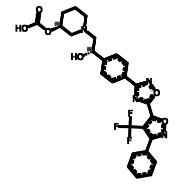 O=C(O)O[C@H]1CCCN(C[C@@H](O)c2ccc(-c3noc(-c4onc(-c5ccccc5)c4C(F)(F)F)n3)cc2)C1